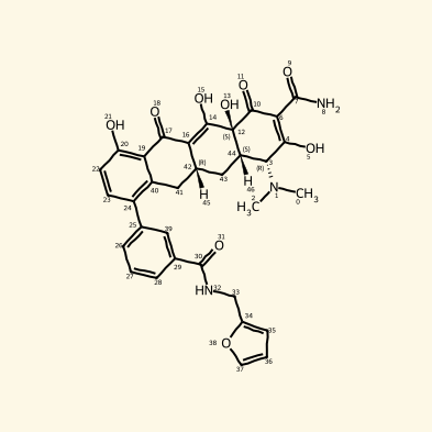 CN(C)[C@H]1C(O)=C(C(N)=O)C(=O)[C@@]2(O)C(O)=C3C(=O)c4c(O)ccc(-c5cccc(C(=O)NCc6ccco6)c5)c4C[C@H]3C[C@@H]12